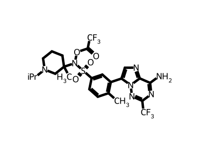 Cc1ccc(S(=O)(=O)N(OC(=O)C(F)(F)F)C2(C)CCCN(C(C)C)C2)cc1-c1cnc2c(N)nc(C(F)(F)F)nn12